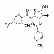 Cc1cc(C(F)(F)F)ccc1C(=O)O[C@@H]1SC(O)[C@@H](F)[C@@H]1OC(=O)c1ccc(C(F)(F)F)cc1